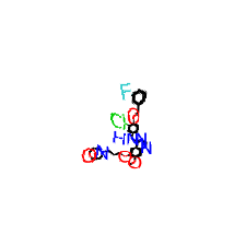 COc1cc2ncnc(Nc3ccc(OCc4cccc(F)c4)c(Cl)c3)c2cc1OCCCN1CCOCC1